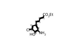 CCOC(=O)/C=C/C=C/c1cc(N)c(O)c(Cl)c1